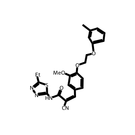 CCc1nnc(NC(=O)C(C#N)=Cc2ccc(OCCOc3cccc(C)c3)c(OC)c2)s1